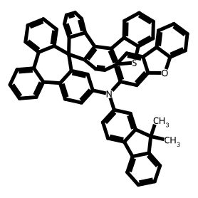 CC1(C)c2ccccc2-c2ccc(N(c3ccc4c(c3)C3(c5ccccc5-c5ccccc5-4)c4ccccc4-c4c3ccc3sc5ccccc5c43)c3ccc4c(c3)oc3ccccc34)cc21